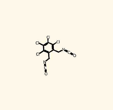 O=C=NCc1c(Cl)c(Cl)c(Cl)c(Cl)c1CN=C=O